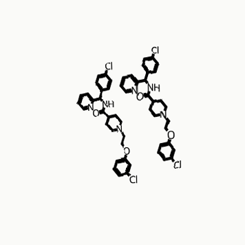 O=C(NC(c1ccc(Cl)cc1)c1ccccn1)C1CCN(CCOc2cccc(Cl)c2)CC1.O=C(NC(c1ccc(Cl)cc1)c1ccccn1)C1CCN(CCOc2cccc(Cl)c2)CC1